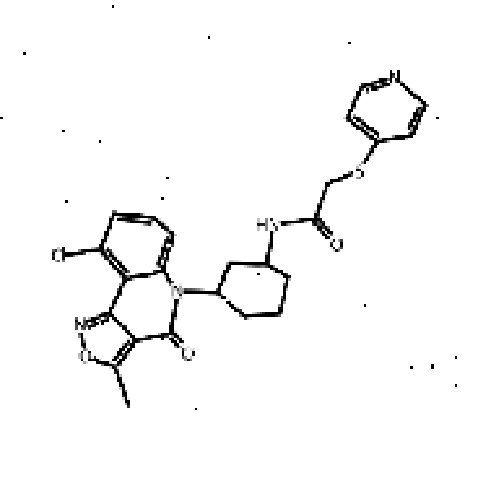 Cc1onc2c1c(=O)n(C1CCCC(NC(=O)CSc3ccncc3)C1)c1cccc(Cl)c21